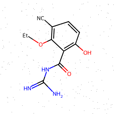 CCOc1c(C#N)ccc(O)c1C(=O)NC(=N)N